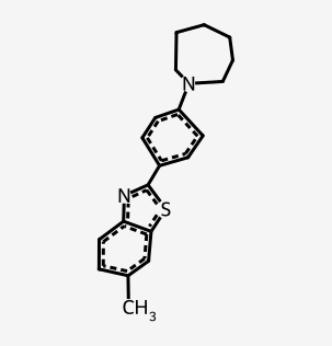 Cc1ccc2nc(-c3ccc(N4CCCCCC4)cc3)sc2c1